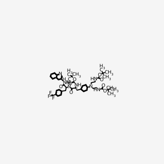 CC(C)(C)OC(=O)NCCN(CCNC(=O)OC(C)(C)C)c1ccc(C[C@H](NC(=O)OC(C)(C)C)C(=O)NC(Cc2ccc(C(F)(F)F)cc2)C(=O)Nc2cnc3ccccc3c2)cc1